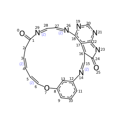 O=C1C/C=C\C=C/Oc2cccc(c2)/N=C\C2=c3c(ncnc3=NC2=O)/N=C\C=N/1